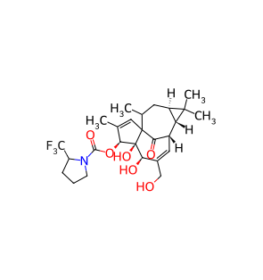 CC1=CC23C(=O)[C@@H](C=C(CO)[C@@H](O)[C@]2(O)[C@H]1OC(=O)N1CCCC1C(F)(F)F)[C@@H]1[C@@H](CC3C)C1(C)C